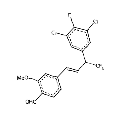 COc1cc(/C=C/C(c2cc(Cl)c(F)c(Cl)c2)C(F)(F)F)ccc1C=O